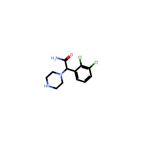 NC(=O)C(c1cccc(Cl)c1Cl)N1CCNCC1